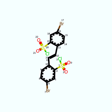 O=S(=O)(Cl)c1cc(Br)ccc1C=Cc1ccc(Br)cc1S(=O)(=O)Cl